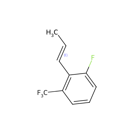 C/C=C/c1c(F)cccc1C(F)(F)F